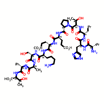 CC(C)C[C@H](NC(=O)[C@H](Cc1c[nH]cn1)NC(=O)[C@@H](N)C(C)C)C(=O)N[C@H](C(=O)N1CCC[C@H]1C(=O)N[C@@H](CCC(=O)O)C(=O)N[C@@H](CCC(=O)O)C(=O)N[C@@H](CCCCN)C(=O)N[C@@H](CO)C(=O)N[C@@H](C)C(=O)N[C@H](C(=O)N[C@H](C(=O)O)[C@@H](C)O)C(C)C)[C@@H](C)O